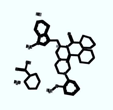 COc1ccccc1N1CCN(C[C@@H](Cc2cn(C)c3ccccc23)N(C(=O)C2CCCCC2)C(=O)C2CCCCC2)CC1.Cl.O.O=C(O)C1CCCCC1